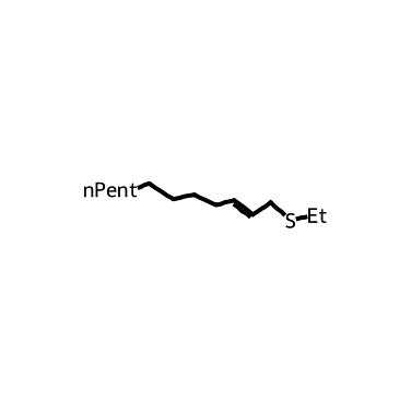 CCCCCCCCC/C=C/CSCC